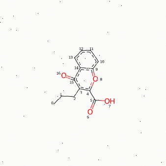 CCCc1c(C(=O)O)oc2ccccc2c1=O